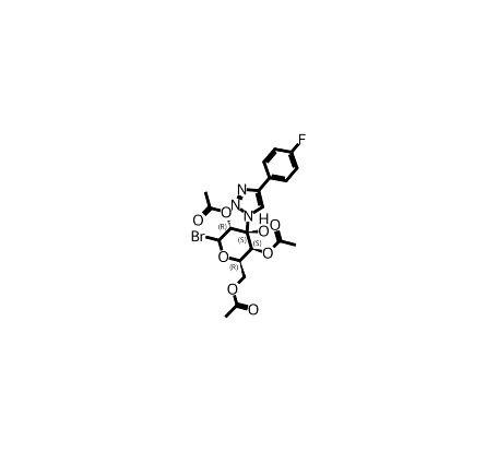 CC(=O)OC[C@H]1OC(Br)[C@H](OC(C)=O)[C@](O)(n2cc(-c3ccc(F)cc3)nn2)[C@H]1OC(C)=O